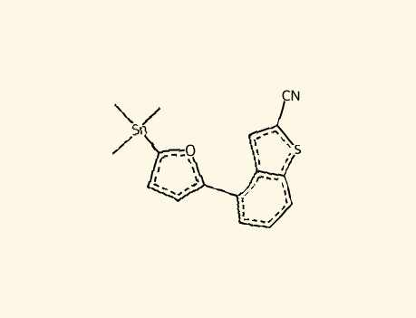 [CH3][Sn]([CH3])([CH3])[c]1ccc(-c2cccc3sc(C#N)cc23)o1